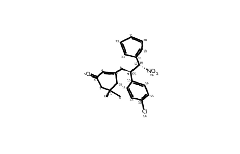 CC1(C)CC(=O)C=C(C[C@H](c2ccc(Cl)cc2)[C@H](c2ccccc2)[N+](=O)[O-])C1